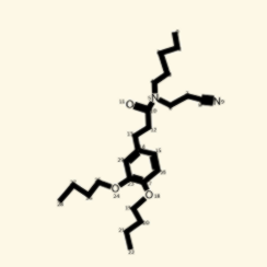 CCCCCN(CCC#N)C(=O)CCc1ccc(OCCCC)c(OCCCC)c1